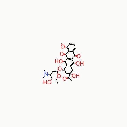 COc1cccc2c1C(=O)c1c(O)c3c(c(O)c1C2=O)C[C@@](O)(C(C)=O)C[C@@H]3OC1CC(N(C)C)C(O)C(C)O1